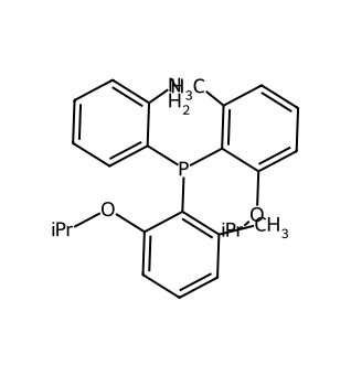 Cc1cccc(OC(C)C)c1P(c1ccccc1N)c1c(C)cccc1OC(C)C